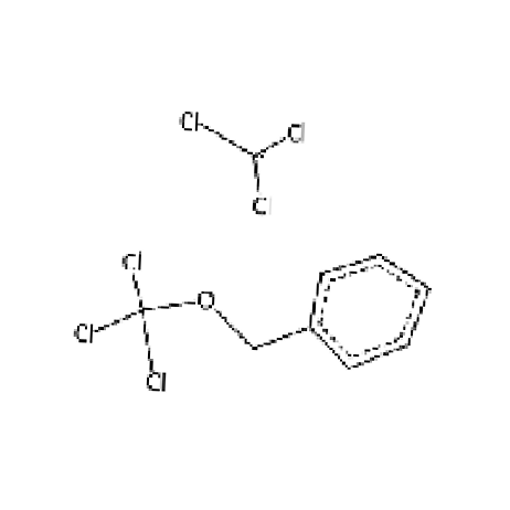 ClC(Cl)(Cl)OCc1ccccc1.Cl[C](Cl)Cl